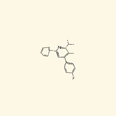 Cc1c(-c2ccc(F)cc2)cc(-c2ccccc2)nc1C(C)C